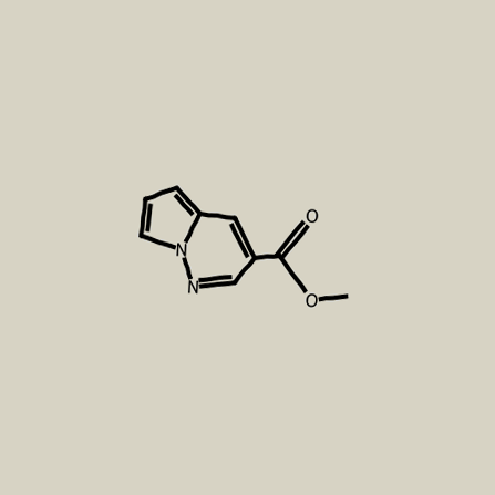 COC(=O)c1cnn2cccc2c1